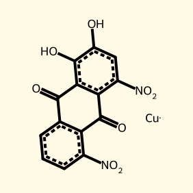 O=C1c2c(cccc2[N+](=O)[O-])C(=O)c2c(O)c(O)cc([N+](=O)[O-])c21.[Cu]